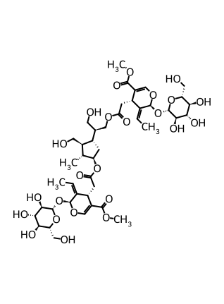 C/C=C1\[C@H](O[C@@H]2O[C@H](CO)[C@@H](O)[C@H](O)[C@H]2O)OC=C(C(=O)OC)[C@H]1CC(=O)OC[C@H](CO)[C@@H]1C[C@@H](OC(=O)C[C@@H]2C(C(=O)OC)=CO[C@@H](O[C@@H]3O[C@H](CO)[C@@H](O)[C@H](O)[C@H]3O)/C2=C\C)[C@H](C)[C@H]1CO